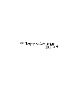 CCCCCCCCCOCCCOP(=O)(O)O